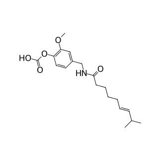 COc1cc(CNC(=O)CCCCC=CC(C)C)ccc1OC(=O)O